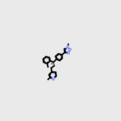 Cc1cc(CC[C@H](c2ccc(-c3cn(C)nn3)cc2)c2ccccc2C)ccn1